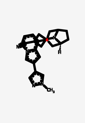 Cn1cc(-c2cc3c(N4CC5CC[C@@H](C4)N5C4CC(C#N)C4)ccnn3c2)cn1